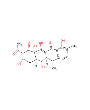 Cc1ccc2c(c1O)C(=O)C1=C(O)[C@]3(O)C(=O)C(C(N)=O)C(O)C[C@@H]3[C@@H](O)[C@@H]1[C@H]2C